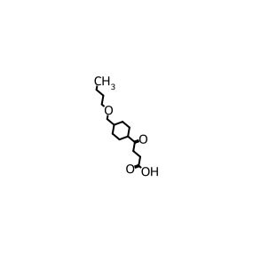 CCCCOCC1CCC(C(=O)CCC(=O)O)CC1